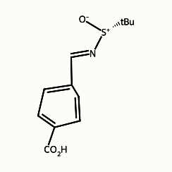 CC(C)(C)[S@@+]([O-])/N=C/c1ccc(C(=O)O)cc1